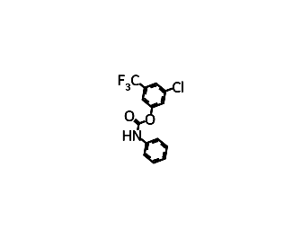 O=C(Nc1ccccc1)Oc1cc(Cl)cc(C(F)(F)F)c1